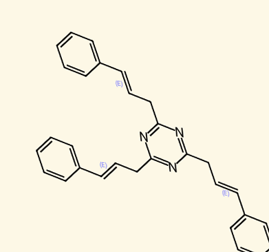 C(=C\c1ccccc1)/Cc1nc(C/C=C/c2ccccc2)nc(C/C=C/c2ccccc2)n1